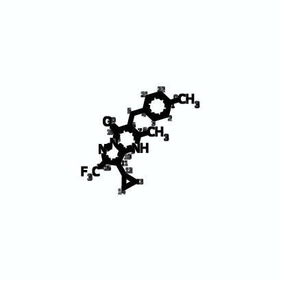 Cc1ccc(Cc2c(C)[nH]c3c(C4CC4)c(C(F)(F)F)nn3c2=O)cc1